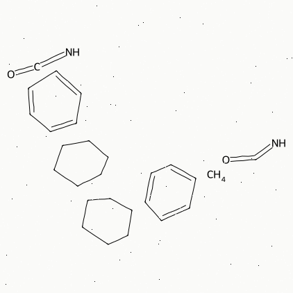 C.C1CCCCC1.C1CCCCC1.N=C=O.N=C=O.c1ccccc1.c1ccccc1